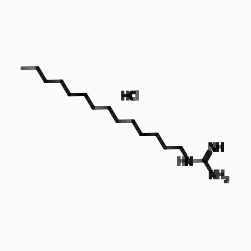 CCCCCCCCCCCCCCNC(=N)N.Cl